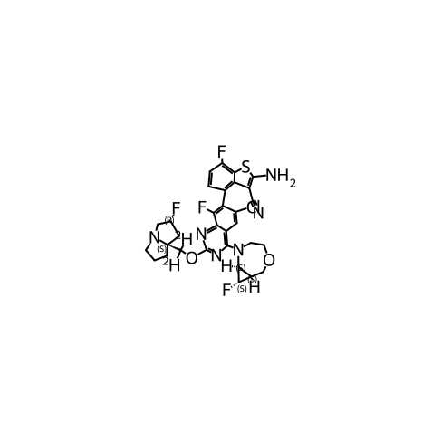 [2H]C([2H])(Oc1nc(N2CCOC[C@H]3[C@H](F)[C@H]32)c2cc(Cl)c(-c3ccc(F)c4sc(N)c(C#N)c34)c(F)c2n1)[C@@]12CCCN1C[C@H](F)C2